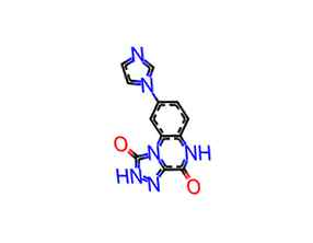 O=c1[nH]c2ccc(-n3ccnc3)cc2n2c(=O)[nH]nc12